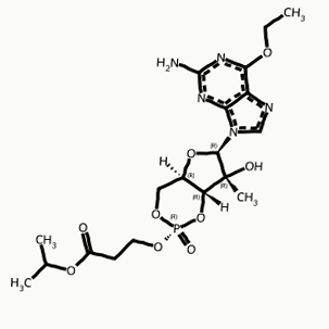 CCOc1nc(N)nc2c1ncn2[C@@H]1O[C@@H]2CO[P@@](=O)(OCCC(=O)OC(C)C)O[C@H]2[C@@]1(C)O